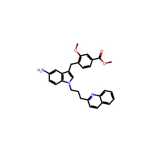 COC(=O)c1ccc(Cc2cn(CCCc3ccc4ccccc4n3)c3ccc(N)cc23)c(OC)c1